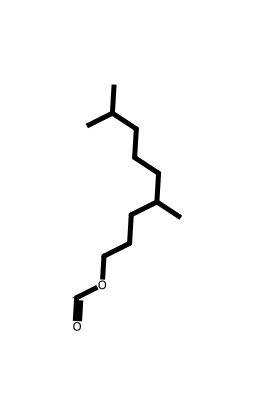 CC(C)CCCC(C)CCCO[C]=O